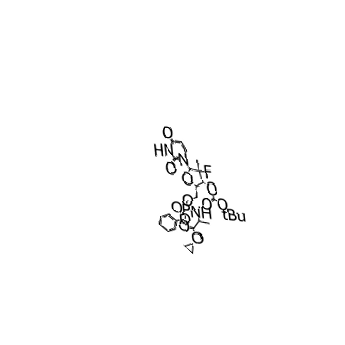 CC(NP(=O)(OC[C@H]1O[C@@H](n2ccc(=O)[nH]c2=O)[C@](C)(F)[C@@H]1OC(=O)OC(C)(C)C)Oc1ccccc1)C(=O)OC1CC1